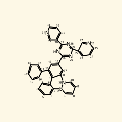 C1=CB2c3ccccc3-c3c(-c4ccccc4)cc(-c4nc(-c5cccnc5)nc(-c5cccnc5)n4)cc3N2C=C1